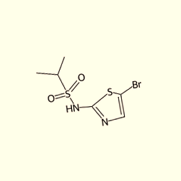 CC(C)S(=O)(=O)Nc1ncc(Br)s1